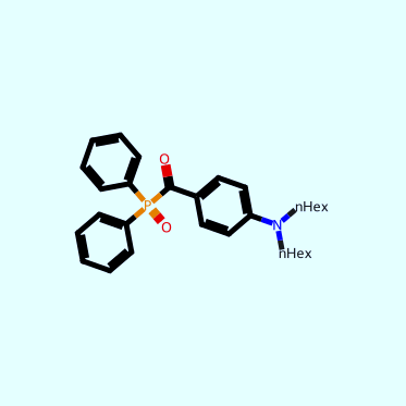 CCCCCCN(CCCCCC)c1ccc(C(=O)P(=O)(c2ccccc2)c2ccccc2)cc1